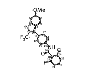 COc1ccc2c(c1)nc(C(F)(F)F)n2-c1ccc(NC(=O)c2c(F)cccc2Cl)nc1